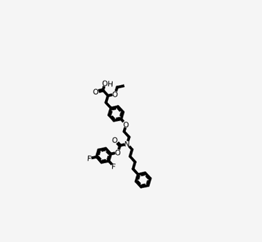 CCOC(Cc1ccc(OCCN(CCCCc2ccccc2)C(=O)Oc2ccc(F)cc2F)cc1)C(=O)O